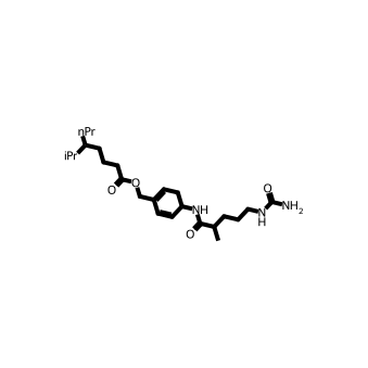 CCCC(CCCC(=O)OCC1=CCC(NC(=O)C(C)CCCNC(N)=O)C=C1)C(C)C